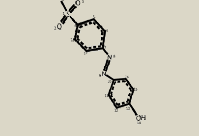 CS(=O)(=O)c1ccc(N=Nc2ccc(O)cc2)cc1